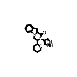 O=C1c2cc3ccccc3n2CC(C2CCCCO2)N1c1cn[nH]c1